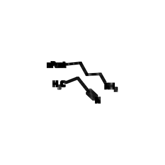 CCC#N.CCCCCCCCN